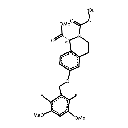 COC(=O)[C@H]1c2ccc(OCc3c(F)c(OC)cc(OC)c3F)cc2CCN1C(=O)OC(C)(C)C